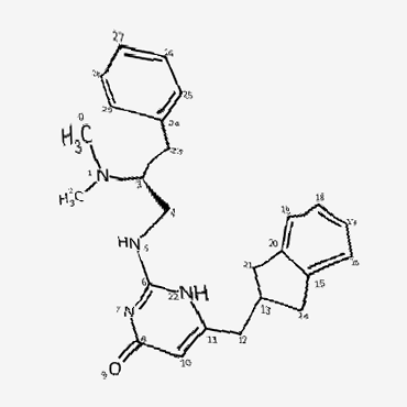 CN(C)[C@H](CNc1nc(=O)cc(CC2Cc3ccccc3C2)[nH]1)Cc1ccccc1